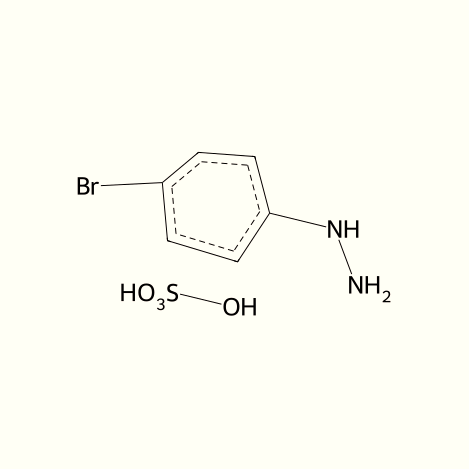 NNc1ccc(Br)cc1.O=S(=O)(O)O